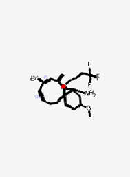 C=C1/C=C(Br)\C=C/CCC2(CCC(OC)CC2)C12CN(CC(F)(F)F)C(N)=N2